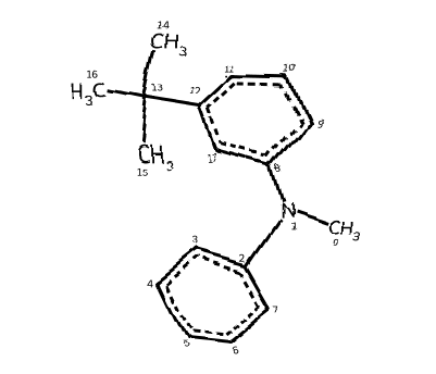 CN(c1ccccc1)c1cc[c]c(C(C)(C)C)c1